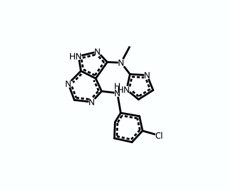 CN(c1ncc[nH]1)c1n[nH]c2ncnc(Nc3cccc(Cl)c3)c12